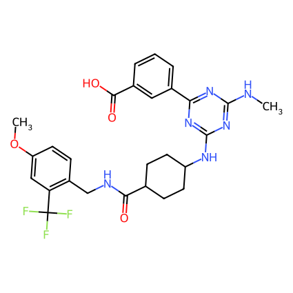 CNc1nc(NC2CCC(C(=O)NCc3ccc(OC)cc3C(F)(F)F)CC2)nc(-c2cccc(C(=O)O)c2)n1